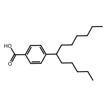 CCCCCC[C](CCCCC)c1ccc(C(=O)O)cc1